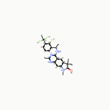 Cc1nc(NC(C)c2cccc(C(C)(F)F)c2F)c2cc3c(cc2n1)N(C)C(=O)C3(C)C